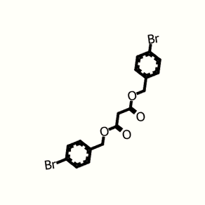 O=C(CC(=O)OCc1ccc(Br)cc1)OCc1ccc(Br)cc1